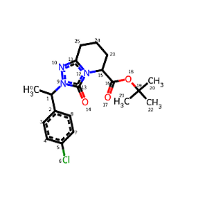 CC(c1ccc(Cl)cc1)n1nc2n(c1=O)C(C(=O)OC(C)(C)C)CCC2